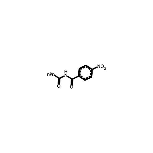 CCCC(=O)NC(=O)c1ccc([N+](=O)[O-])cc1